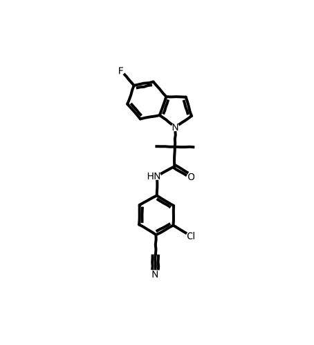 CC(C)(C(=O)Nc1ccc(C#N)c(Cl)c1)n1ccc2cc(F)ccc21